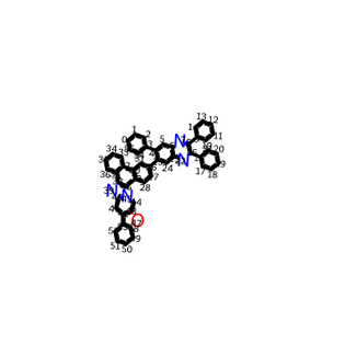 c1ccc(-c2cc3nc(-c4ccccc4)c(-c4ccccc4)nc3cc2-c2ccc3c(c2)c2ccccc2c2nc4cc5c(cn4c32)oc2ccccc25)cc1